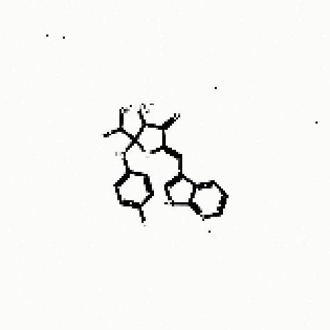 CC(O)C1(Nc2ccc(F)cc2)O/C(=C\c2c[nH]c3ncccc23)C(=O)C1C(=O)O